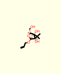 C=CCO[C@H]1O[C@H](CO)[C@@]2(O)C(C)(C)[C@@]12O